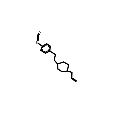 C=CCC1CCC(CCc2ccc(N=C=S)cc2)CC1